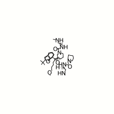 CNC[C@H](C)NC(=O)N1CCCCC1.CNC[C@H](C)NC(=O)N1CCC[C@@H]([C@@](O)(CCCCOC)c2cccc3cc(C(C)(C)C)oc23)C1